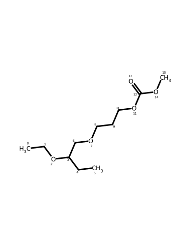 CCOC(CC)COCCCOC(=O)OC